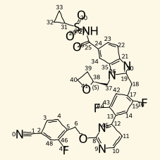 N#Cc1ccc(COc2nccc(-c3cc(F)c(Cc4nc5ccc(C(=O)NS(=O)(=O)C6CC6)cc5n4C[C@@H]4CCO4)cc3F)n2)c(F)c1